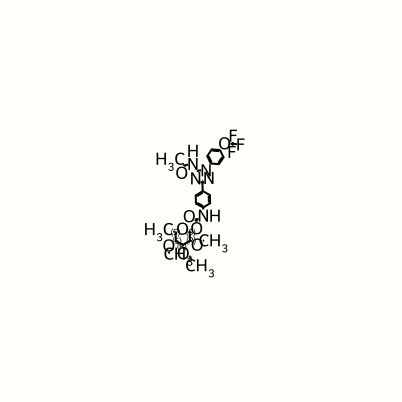 CCO[C@@H]1[C@@H](OC)[C@H](C)O[C@@H](OC(=O)Nc2ccc(-c3nc(NC(C)=O)n(-c4ccc(OC(F)(F)F)cc4)n3)cc2)[C@@H]1OC